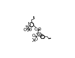 C=CCc1cccc(CC(C)(NC(=O)OC(C)(C)C)C(=O)OCc2cc(CC=C)nc(N(C)S(C)(=O)=O)c2)c1